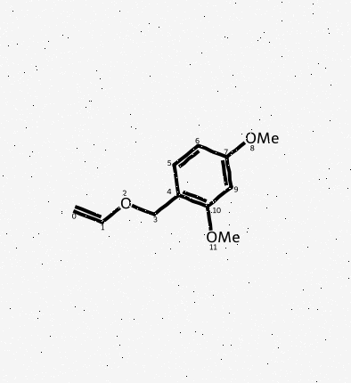 C=COCc1ccc(OC)cc1OC